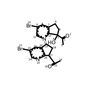 CC(=O)C1(O)CCc2cc(Br)cnc21.CC(=O)C1CCc2cc(Br)cnc21